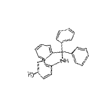 Oc1ccc(NC(c2ccccc2)(c2ccccc2)c2ccccc2)nc1